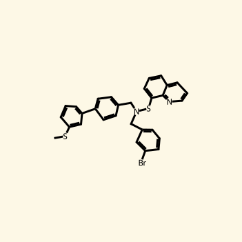 CSc1cccc(-c2ccc(CN(Cc3cccc(Br)c3)Sc3cccc4cccnc34)cc2)c1